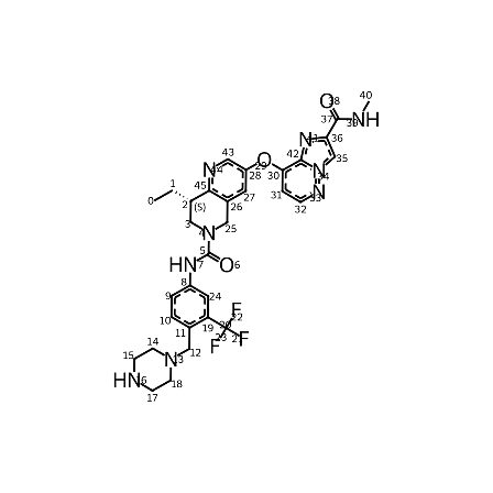 CC[C@H]1CN(C(=O)Nc2ccc(CN3CCNCC3)c(C(F)(F)F)c2)Cc2cc(Oc3ccnn4cc(C(=O)NC)nc34)cnc21